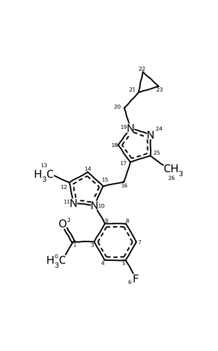 CC(=O)c1cc(F)ccc1-n1nc(C)cc1Cc1cn(CC2CC2)nc1C